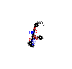 O=C(COCc1ccc([N+](=O)[O-])cc1)NCCCC[C@H](NC(=O)OCc1ccccc1)C(=O)Nc1cccc2cccnc12